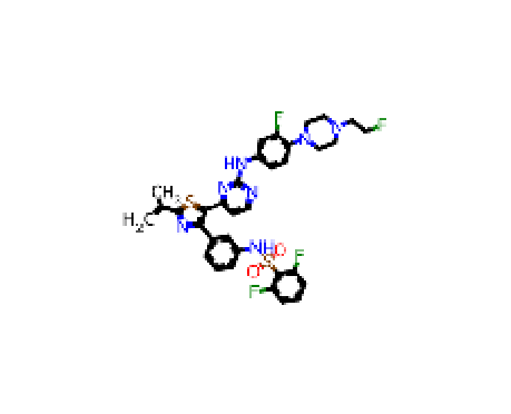 C=C(C)c1nc(-c2cccc(NS(=O)(=O)c3c(F)cccc3F)c2)c(-c2ccnc(Nc3ccc(N4CCN(CCF)CC4)c(F)c3)n2)s1